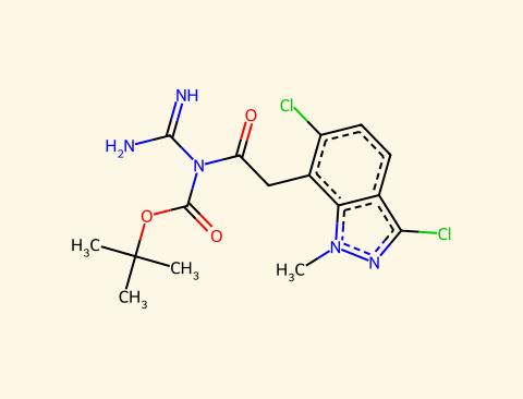 Cn1nc(Cl)c2ccc(Cl)c(CC(=O)N(C(=N)N)C(=O)OC(C)(C)C)c21